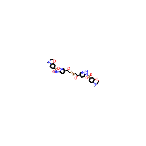 CN1CCOc2cc(S(=O)(=O)Nc3ccc(C(=O)CSSCC(=O)c4ccc(NS(=O)(=O)c5ccc6c(c5)OCCN6C)nc4)cn3)ccc21